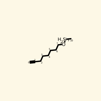 C#CCCCCCCO[SiH2]C